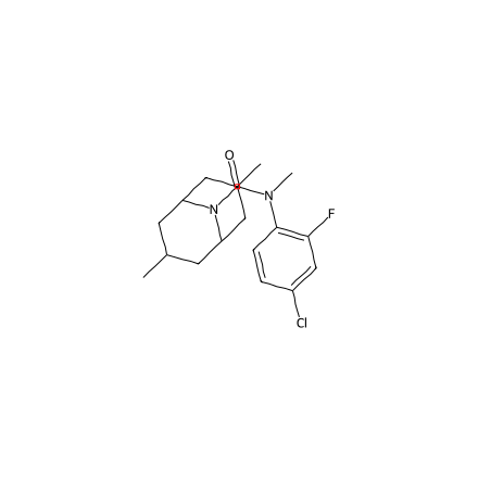 CC1CC2CC(C)CC(C1)N2C(=O)N(C)c1ccc(Cl)cc1F